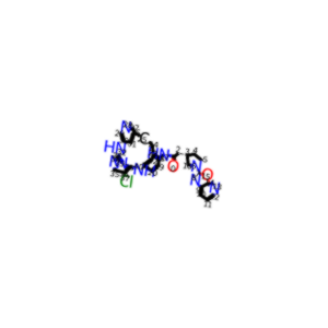 O=C(C[C@@H]1CCN(c2nc3cccnc3o2)C1)Nc1ccc2cc1CCc1cncc(c1)Nc1ncc(Cl)c(n1)N2